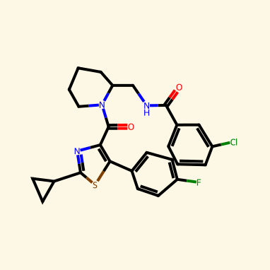 O=C(NCC1CCCCN1C(=O)c1nc(C2CC2)sc1-c1ccc(F)cc1)c1cccc(Cl)c1